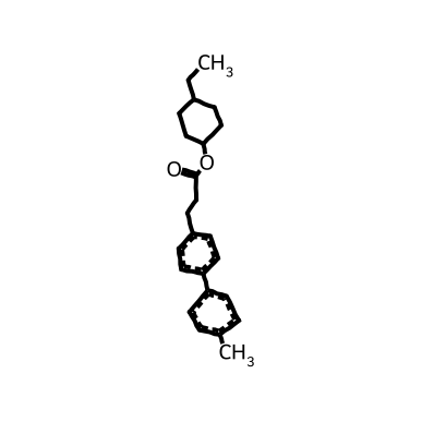 CCC1CCC(OC(=O)CCc2ccc(-c3ccc(C)cc3)cc2)CC1